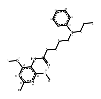 CCCN(CCCCC(=O)Nc1c(OC)nc(C)nc1OC)c1ccccc1